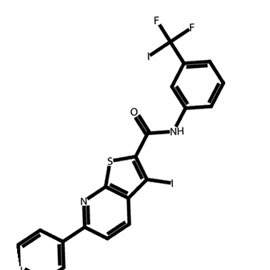 O=C(Nc1cccc(C(F)(F)I)c1)c1sc2nc(-c3ccncc3)ccc2c1I